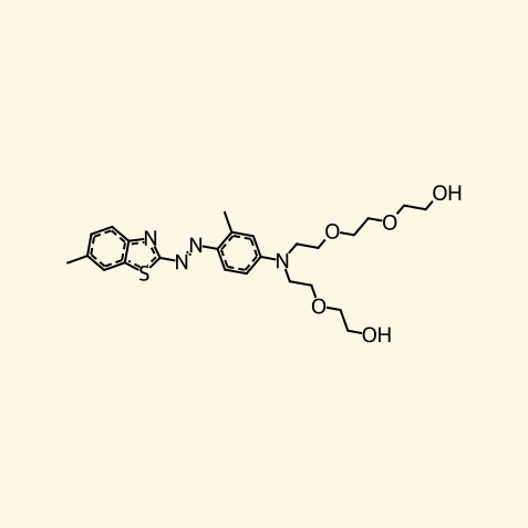 Cc1ccc2nc(/N=N/c3ccc(N(CCOCCO)CCOCCOCCO)cc3C)sc2c1